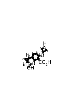 O=C(O)c1c(OC2CNC2)ccc2c1OB(O)[C@@H]1C[C@H]21